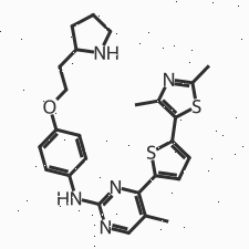 Cc1nc(C)c(-c2ccc(-c3nc(Nc4ccc(OCCC5CCCN5)cc4)ncc3C)s2)s1